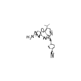 CC(C)c1cnc(C#Cc2ccc(C#N)cc2)cc1Oc1cnc(N)nc1N